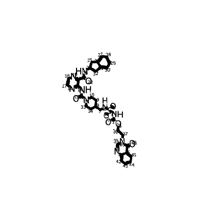 O=C(NS(=O)(=O)NCC1CCN(C(=O)Nc2nccnc2C(=O)NC2Cc3ccccc3C2)CC1)OCCn1cnc2ccccc2c1=O